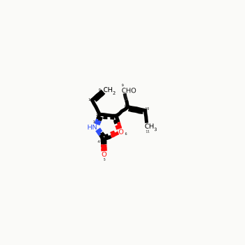 C=Cc1[nH]c(=O)oc1/C(C=O)=C\C